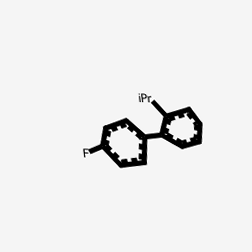 CC(C)c1ccccc1-c1ccc(F)cc1